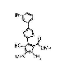 COC(=O)c1c(-c2ccc(-c3cccc(C(C)C)c3)cc2)c(C#N)c(SC)n1C